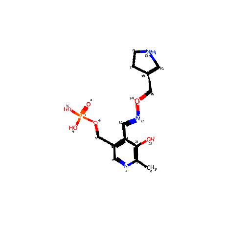 Cc1ncc(COP(=O)(O)O)c(/C=N/OC[C@H]2CCNC2)c1O